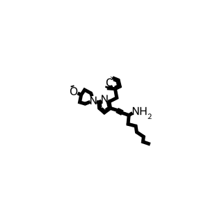 CCCCCCC(N)C#Cc1ccc(N2CCC(OC)CC2)nc1Cc1ccccc1